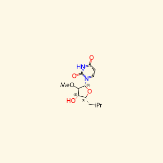 COC1[C@@H](O)[C@@H](CC(C)C)O[C@H]1n1ccc(=O)[nH]c1=O